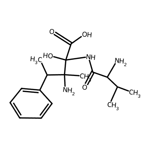 CC(C)C(N)C(=O)NC(O)(C(=O)O)C(C)(N)C(C)c1ccccc1